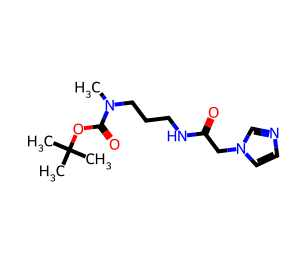 CN(CCCNC(=O)Cn1ccnc1)C(=O)OC(C)(C)C